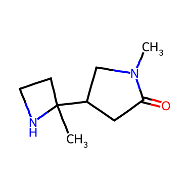 CN1CC(C2(C)CCN2)CC1=O